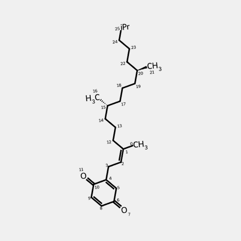 CC(=CCC1=CC(=O)C=CC1=O)CCC[C@H](C)CCC[C@H](C)CCCC(C)C